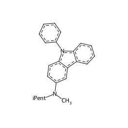 CCCC(C)N(C)c1ccc2c(c1)c1ccccc1n2-c1ccccc1